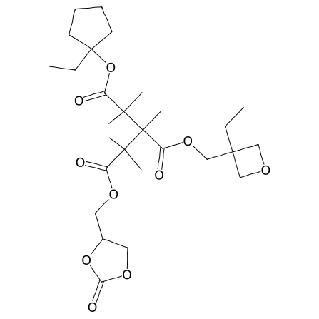 CCC1(COC(=O)C(C)(C(C)(C)C(=O)OCC2COC(=O)O2)C(C)(C)C(=O)OC2(CC)CCCC2)COC1